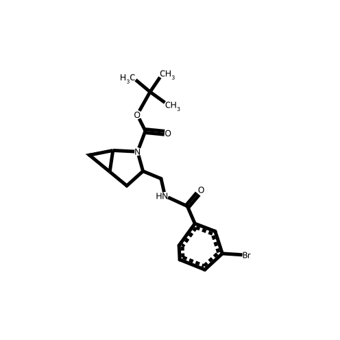 CC(C)(C)OC(=O)N1C(CNC(=O)c2cccc(Br)c2)CC2CC21